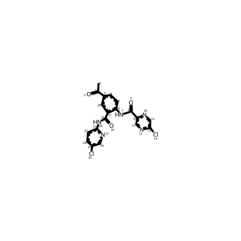 CC(=O)c1ccc(NC(=O)c2cnc(Cl)cn2)c(C(=O)Nc2ccc(Cl)cn2)c1